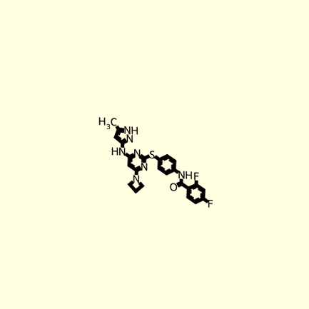 Cc1cc(Nc2cc(N3CCC3)nc(Sc3ccc(NC(=O)c4ccc(F)cc4F)cc3)n2)n[nH]1